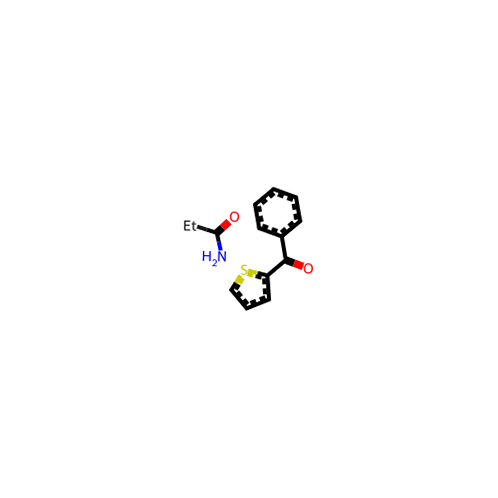 CCC(N)=O.O=C(c1ccccc1)c1cccs1